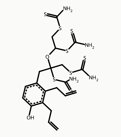 C=CCc1c(O)ccc(CC(CSC(N)=S)(OC(CSC(N)=S)SC(N)=S)SC(N)=S)c1CC=C